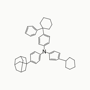 c1ccc(C2(c3ccc(N(c4ccc(C5CCCCC5)cc4)c4ccc(C56CC7CC(CC(C7)C5)C6)cc4)cc3)CCCCC2)cc1